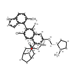 Cc1ccc2[nH]ncc2c1-c1c(Cl)cc2c(N3CC4CCC(C3)N4C(=O)OC(C)(C)C)nc(OC[C@@H]3CCCN3C)nc2c1F